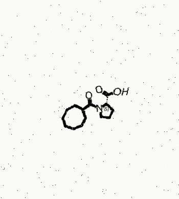 O=C(O)[C@@H]1CCCN1C(=O)C1CCCCCCC1